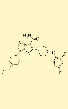 CC=CN1CCC(c2cnn3c(C(N)=O)c(-c4ccc(Oc5ccc(F)cc5F)cc4)[nH]c23)CC1